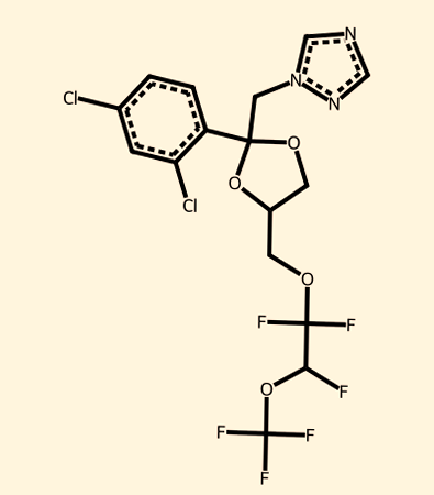 FC(OC(F)(F)F)C(F)(F)OCC1COC(Cn2cncn2)(c2ccc(Cl)cc2Cl)O1